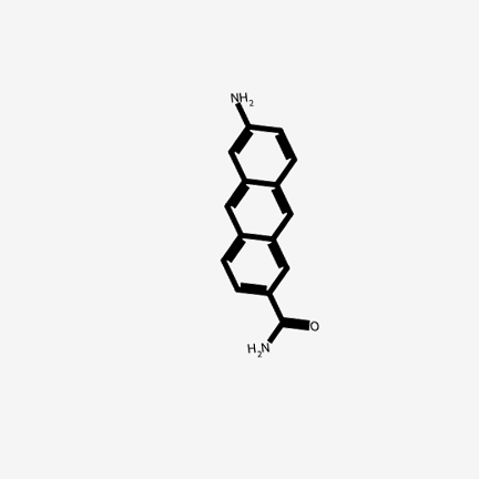 NC(=O)c1ccc2cc3cc(N)ccc3cc2c1